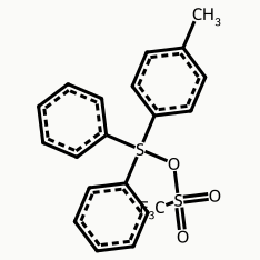 Cc1ccc(S(OS(=O)(=O)C(F)(F)F)(c2ccccc2)c2ccccc2)cc1